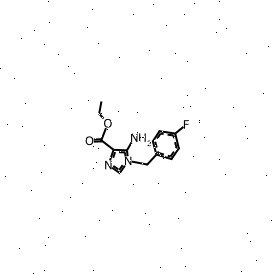 CCOC(=O)c1ncn(Cc2ccc(F)cc2)c1N